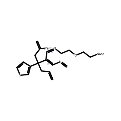 C=CCC(CC(=C)C(C)CCC)(C(/C=N\CCOCCNC)=C/N=C)c1ccsc1